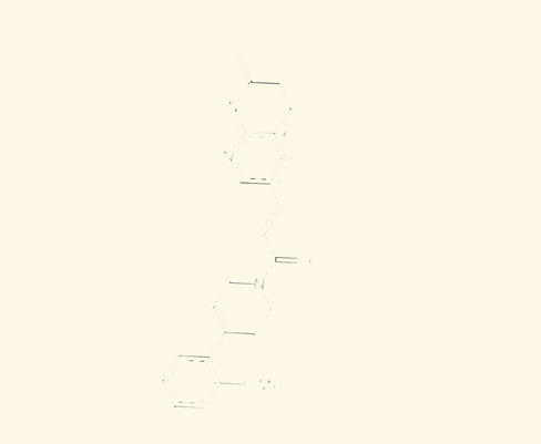 C=C1CCc2cc(/C=C/C(=O)N3CC=C(c4ccccc4OC)CC3)cnc2N1